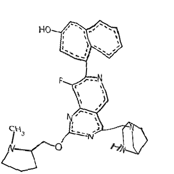 CN1CCCC1COc1nc(N2CC3CCC2CN3)c2cnc(-c3cc(O)cc4ccccc34)c(F)c2n1